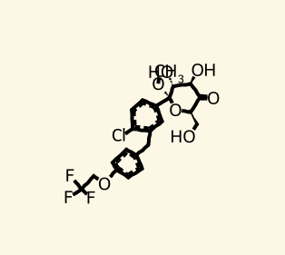 CO[C@@]1(c2ccc(Cl)c(Cc3ccc(OCC(F)(F)F)cc3)c2)O[C@H](CO)C(=O)[C@H](O)[C@H]1O